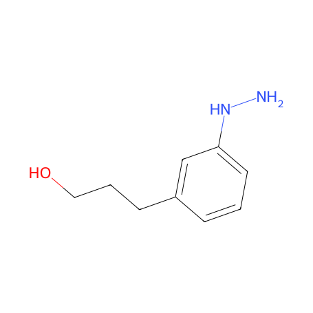 NNc1cccc(CCCO)c1